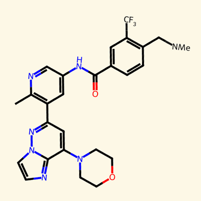 CNCc1ccc(C(=O)Nc2cnc(C)c(-c3cc(N4CCOCC4)c4nccn4n3)c2)cc1C(F)(F)F